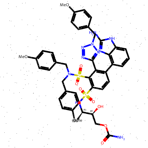 COc1ccc(CN(Cc2ccc(OC)cc2)S(=O)(=O)c2c(S(=O)(=O)N[C@@H]([C@@H](O)COC(N)=O)C(C)(C)C)ccc(-c3cccc4[nH]c(N)nc34)c2-c2nnn(Cc3ccc(OC)cc3)n2)cc1